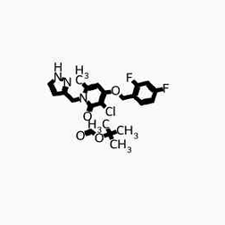 CC(C)(C)OC=O.Cc1cc(OCc2ccc(F)cc2F)c(Cl)c(=O)n1Cc1cc[nH]n1